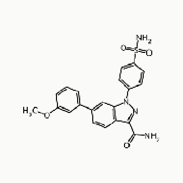 COc1cccc(-c2ccc3c(C(N)=O)nn(-c4ccc(S(N)(=O)=O)cc4)c3c2)c1